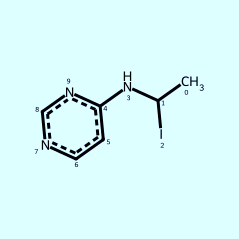 CC(I)Nc1ccncn1